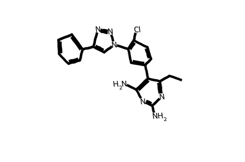 CCc1nc(N)nc(N)c1-c1ccc(Cl)c(-n2cc(-c3ccccc3)nn2)c1